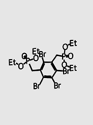 CCOP(=O)(Cc1c(Br)c(Br)c(Br)c(CP(=O)(OCC)OCC)c1Br)OCC